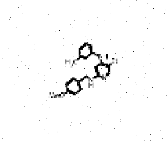 CCc1cnc(NCc2ccc(OC)cc2)cc1Nc1cccc(C)c1